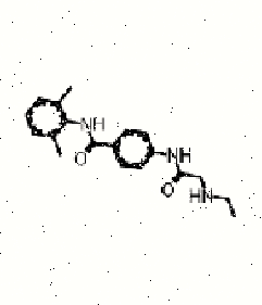 CCNCC(=O)Nc1ccc(C(=O)Nc2c(C)cccc2C)cc1